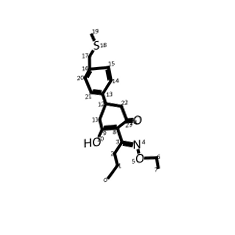 CCCC(=NOCC)C1=C(O)CC(c2ccc(CSC)cc2)CC1=O